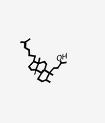 CC(C)=CCCCC1CC[C@@]2(C)C3=C(CCC12C)C(C)(CCC(C)O)C(C)CC3